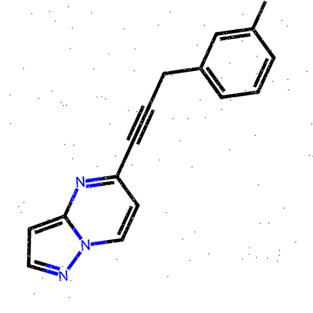 CC(=O)Nc1cccc(CC#Cc2ccn3nccc3n2)c1